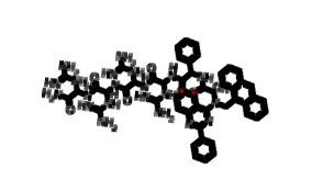 N=C(N)NC(NC(=O)C(NC(=N)N)NC(=O)C(NC(=N)N)NC(=O)C(NC(=N)N)NC(=O)C(NC(=O)C(O)N(Cc1c2ccccc2cc2ccccc12)c1nc(-c2ccccc2)nc2ccccc12)c1ccccc1)C(N)=O